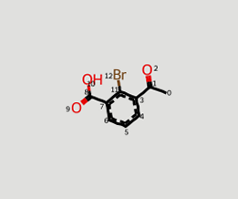 CC(=O)c1cccc(C(=O)O)c1Br